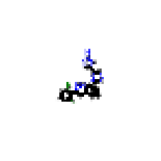 CC1(C)[C@H]2CC[C@]1(c1cncc(-c3cn[nH]n3)n1)c1nnc(-c3c(F)cccc3F)cc12